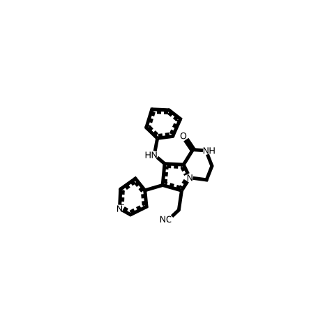 N#CCc1c(-c2ccncc2)c(Nc2ccccc2)c2n1CCNC2=O